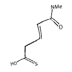 CNC(=O)C=CCC(O)=S